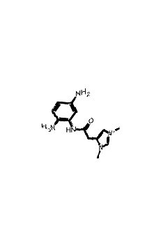 Cn1c[n+](C)cc1CC(=O)Nc1cc(N)ccc1N